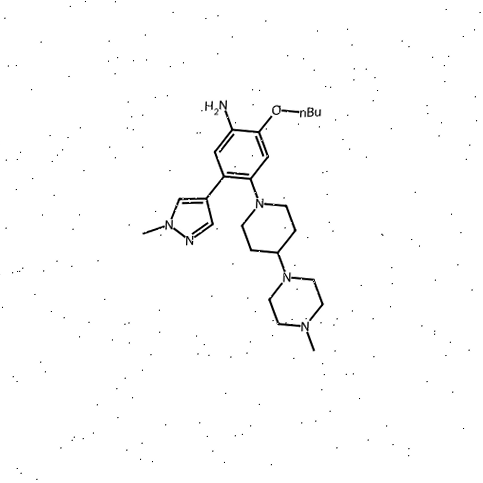 CCCCOc1cc(N2CCC(N3CCN(C)CC3)CC2)c(-c2cnn(C)c2)cc1N